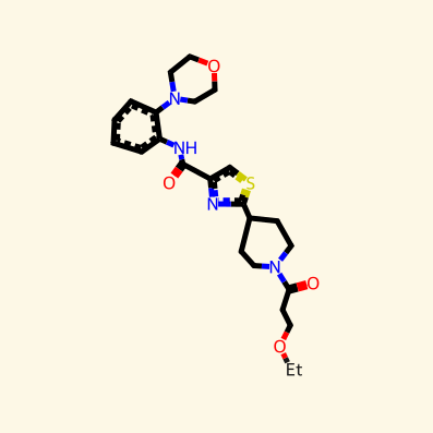 CCOCCC(=O)N1CCC(c2nc(C(=O)Nc3ccccc3N3CCOCC3)cs2)CC1